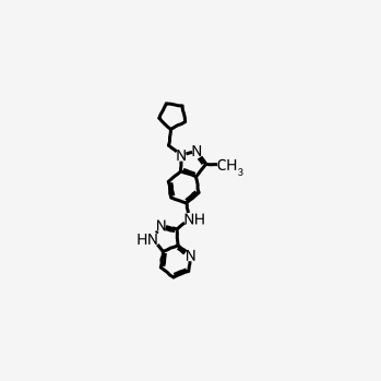 Cc1nn(CC2CCCC2)c2ccc(Nc3n[nH]c4cccnc34)cc12